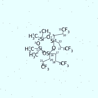 C[Si]1(C)O[Si](C)(C)O[Si](CCC(F)(F)F)(CCC(F)(F)F)O[Si](CCC(F)(F)F)(CCC(F)(F)F)O1